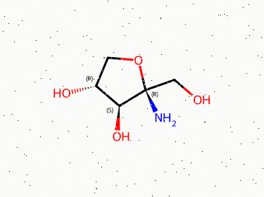 N[C@]1(CO)O[CH][C@@H](O)[C@@H]1O